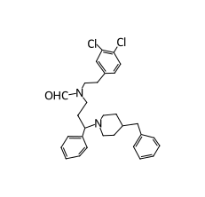 O=CN(CCc1ccc(Cl)c(Cl)c1)CCC(c1ccccc1)N1CCC(Cc2ccccc2)CC1